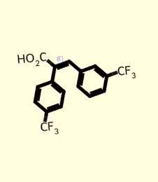 O=C(O)/C(=C/c1cccc(C(F)(F)F)c1)c1ccc(C(F)(F)F)cc1